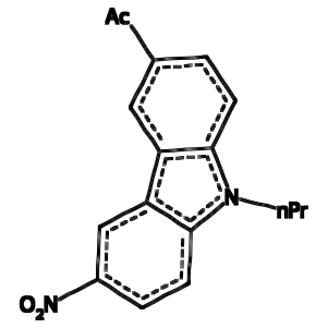 CCCn1c2ccc(C(C)=O)cc2c2cc([N+](=O)[O-])ccc21